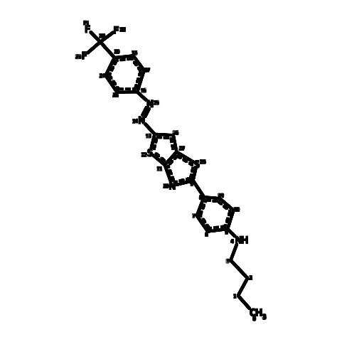 CCCCNc1ccc(-c2nc3sc(N=Nc4ccc(C(F)(F)F)cc4)cc3s2)cc1